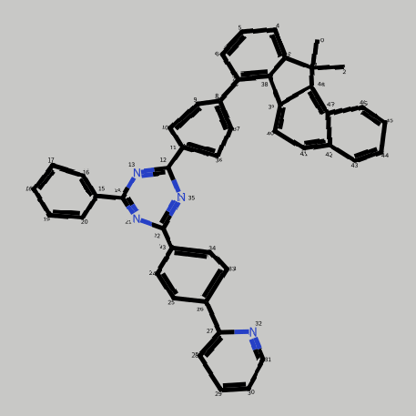 CC1(C)c2cccc(-c3ccc(-c4nc(-c5ccccc5)nc(-c5ccc(-c6ccccn6)cc5)n4)cc3)c2-c2ccc3ccccc3c21